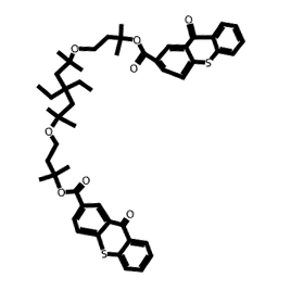 CCC(CC)(CC(C)(C)OCCC(C)(C)OC(=O)c1ccc2sc3ccccc3c(=O)c2c1)CC(C)(C)OCCC(C)(C)OC(=O)c1ccc2sc3ccccc3c(=O)c2c1